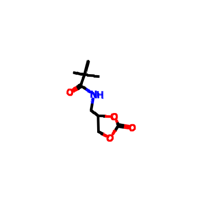 CC(C)(C)C(=O)NCC1COC(=O)O1